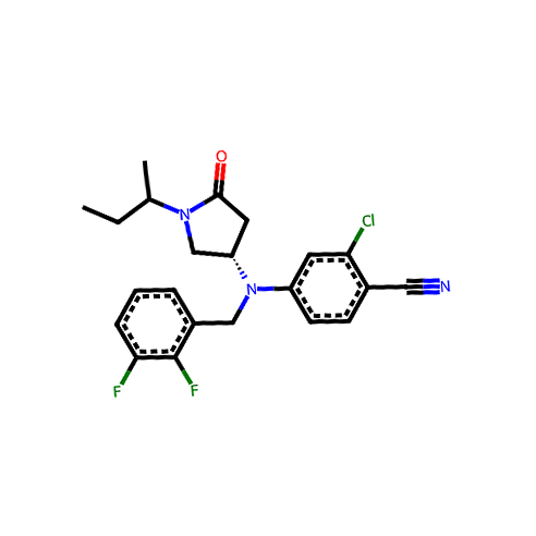 CCC(C)N1C[C@@H](N(Cc2cccc(F)c2F)c2ccc(C#N)c(Cl)c2)CC1=O